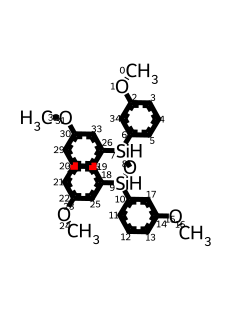 COc1cccc([SiH](O[SiH](c2cccc(OC)c2)c2cccc(OC)c2)c2cccc(OC)c2)c1